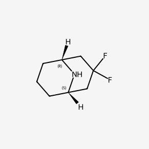 FC1(F)C[C@H]2CCC[C@@H](C1)N2